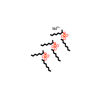 CCCCCCC(C)OP(=O)([O-])OC(C)CCCCCC.CCCCCCC(C)OP(=O)([O-])OC(C)CCCCCC.CCCCCCC(C)OP(=O)([O-])OC(C)CCCCCC.[Nd+3]